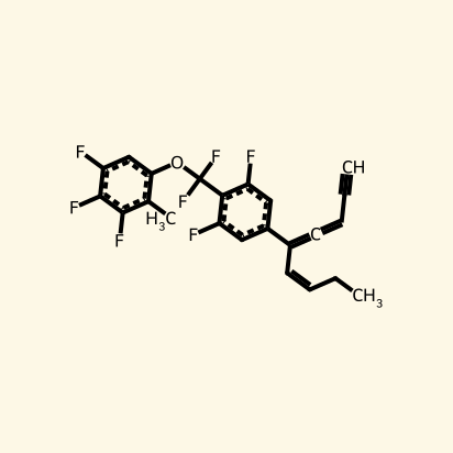 C#CC=C=C(/C=C\CC)c1cc(F)c(C(F)(F)Oc2cc(F)c(F)c(F)c2C)c(F)c1